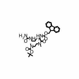 CN(CCN(C)C(=O)[C@H](CCCNC(N)=O)NC(=O)OCC1c2ccccc2-c2ccccc21)C(=O)OC(C)(C)C